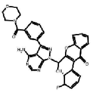 CC(c1oc2ccccc2c(=O)c1C1=CC=CC(F)C1)n1nc(-c2cccc(C(=O)N3CCOCC3)c2)c2c(N)ncnc21